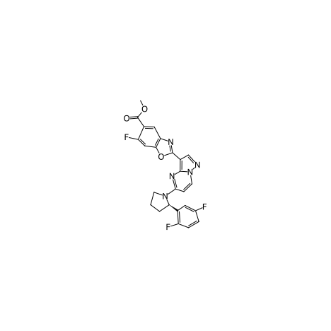 COC(=O)c1cc2nc(-c3cnn4ccc(N5CCC[C@@H]5c5cc(F)ccc5F)nc34)oc2cc1F